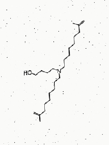 C=C(C)CCCCCCCN(CCCCO)CCCCCCCC(=C)C